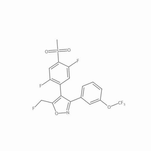 CS(=O)(=O)c1cc(F)c(-c2c(-c3cccc(OC(F)(F)F)c3)noc2CF)cc1F